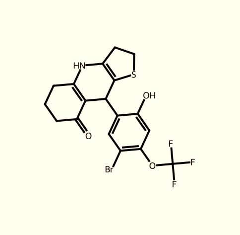 O=C1CCCC2=C1C(c1cc(Br)c(OC(F)(F)F)cc1O)C1=C(CCS1)N2